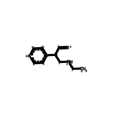 CCNCC([C]=S)c1ccncc1